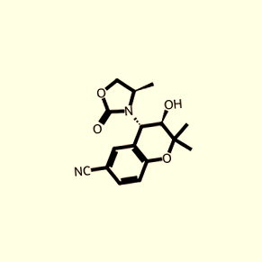 C[C@@H]1COC(=O)N1[C@H]1c2cc(C#N)ccc2OC(C)(C)[C@@H]1O